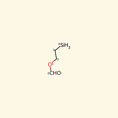 O=[C]OCC[SiH3]